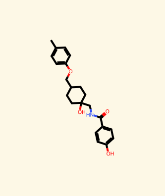 Cc1ccc(OCC2CCC(O)(CNC(=O)c3ccc(O)cc3)CC2)cc1